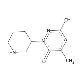 Cc1cc(C)c(=O)n(C2CCCNC2)n1